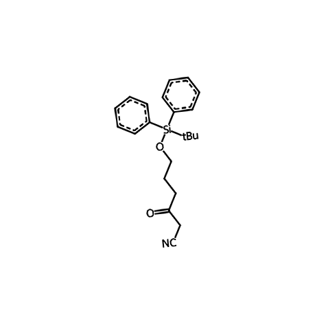 CC(C)(C)[Si](OCCCC(=O)CC#N)(c1ccccc1)c1ccccc1